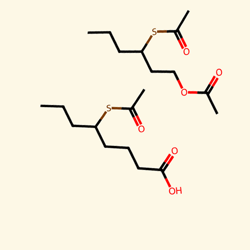 CCCC(CCCC(=O)O)SC(C)=O.CCCC(CCOC(C)=O)SC(C)=O